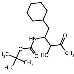 CC(=O)C(O)C(CC1CCCCC1)NC(=O)OC(C)(C)C